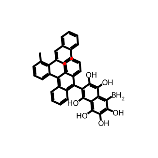 Bc1c(O)c(O)c(O)c2c(O)c(-c3c4ccccc4c(-c4cccc(C)c4-c4cc5ccccc5cc4C)c4ccccc34)c(O)c(O)c12